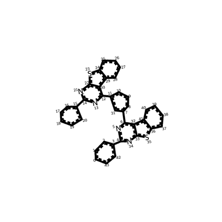 c1ccc(-c2nc(-c3cccc(-c4nc(-c5ccccc5)nc5sc6ccccc6c45)c3)c3c(n2)sc2ccccc23)cc1